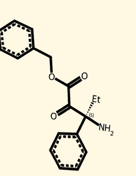 CC[C@@](N)(C(=O)C(=O)OCc1ccccc1)c1ccccc1